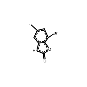 [CH2]c1cc(Br)c2oc(=O)[nH]c2c1